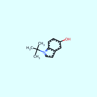 CC(C)(C)n1ccc2cc(O)ccc21